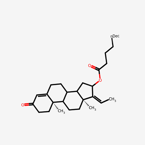 CC=C1C(OC(=O)CCCCCCCCCCCCC)CC2C3CCC4=CC(=O)CC[C@]4(C)C3CC[C@]12C